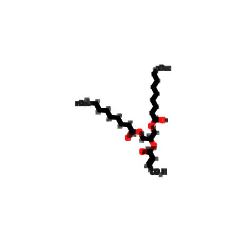 CCCCCCCCCCCCCCCCCC(=O)OCC(COC(=O)CCCCCCCCCCCCCCCCC)OC(=O)/C=C/C(=O)O